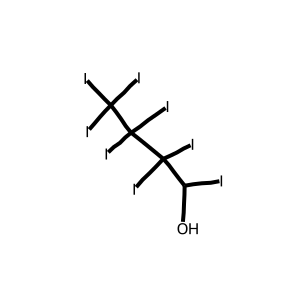 OC(I)C(I)(I)C(I)(I)C(I)(I)I